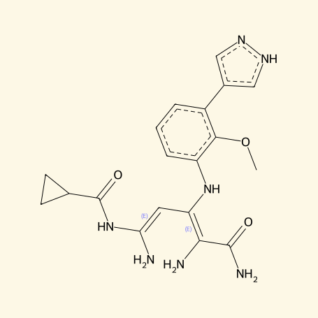 COc1c(NC(/C=C(\N)NC(=O)C2CC2)=C(/N)C(N)=O)cccc1-c1cn[nH]c1